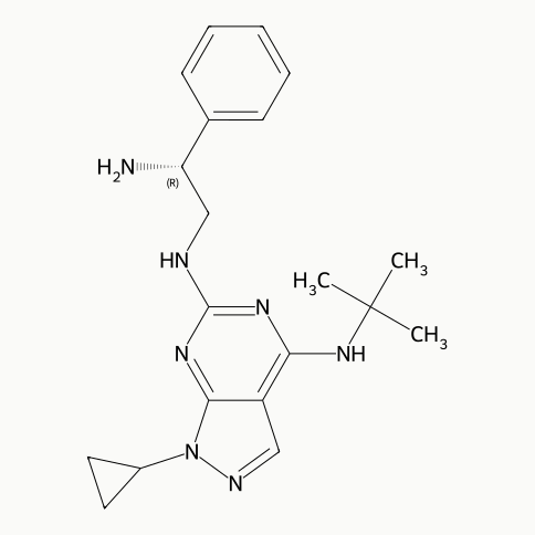 CC(C)(C)Nc1nc(NC[C@H](N)c2ccccc2)nc2c1cnn2C1CC1